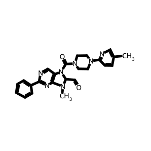 Cc1ccc(N2CCN(C(=O)N3c4cnc(-c5ccccc5)nc4N(C)C3C=O)CC2)nc1